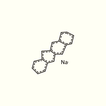 [Na].c1ccc2cc3cc4ccccc4cc3cc2c1